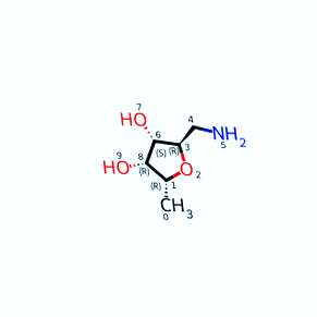 C[C@H]1O[C@H](CN)[C@@H](O)[C@H]1O